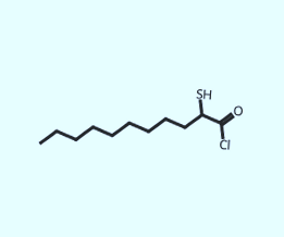 CCCCCCCCCC(S)C(=O)Cl